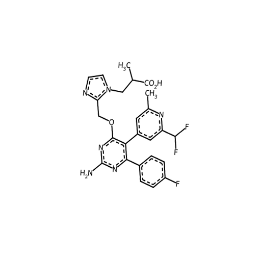 Cc1cc(-c2c(OCc3nccn3CC(C)C(=O)O)nc(N)nc2-c2ccc(F)cc2)cc(C(F)F)n1